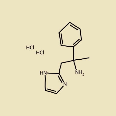 CC(N)(Cc1ncc[nH]1)c1ccccc1.Cl.Cl